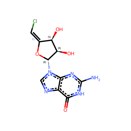 Nc1nc2c(ncn2[C@@H]2O/C(=C/Cl)[C@@H](O)[C@H]2O)c(=O)[nH]1